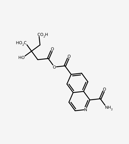 NC(=O)c1nccc2cc(C(=O)OC(=O)CC(O)(CC(=O)O)C(=O)O)ccc12